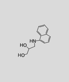 OCC(O)CNc1cccc2ccccc12